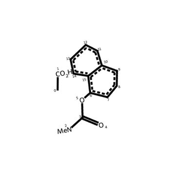 CC(=O)O.CNC(=O)Oc1cccc2ccccc12